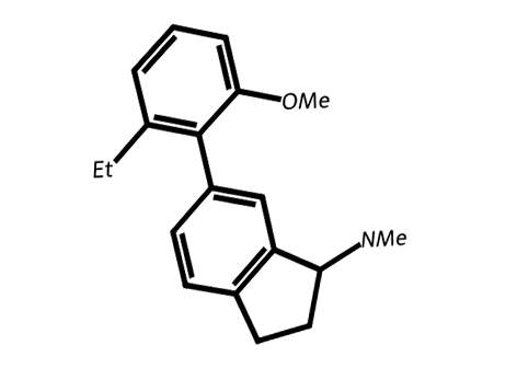 CCc1cccc(OC)c1-c1ccc2c(c1)C(NC)CC2